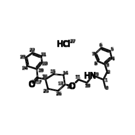 CC(Cc1ccccc1)NCCOC1CCC(C(=O)c2ccccc2)CC1.Cl